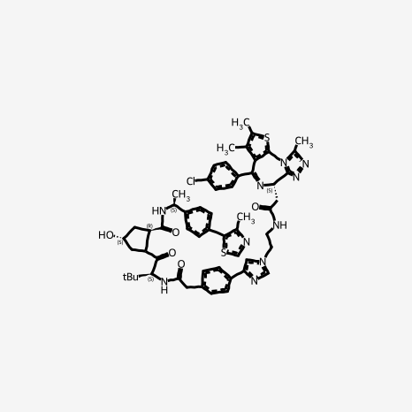 Cc1ncsc1-c1ccc([C@H](C)NC(=O)[C@@H]2C[C@@H](O)CC2C(=O)[C@@H](NC(=O)Cc2ccc(-c3cn(CCNC(=O)C[C@@H]4N=C(c5ccc(Cl)cc5)c5c(sc(C)c5C)-n5c(C)nnc54)cn3)cc2)C(C)(C)C)cc1